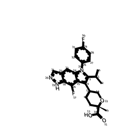 CC(C)c1c(C2CC[C@@](C)(C(=O)O)OC2)c2c(F)c3[nH]ncc3cc2n1-c1ccc(F)cc1